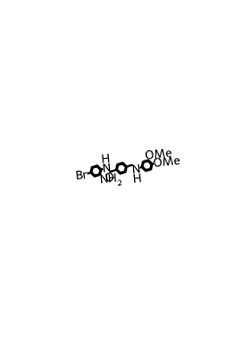 COc1ccc(NCc2ccc(C(=O)Nc3ccc(Br)cc3N)cc2)cc1OC